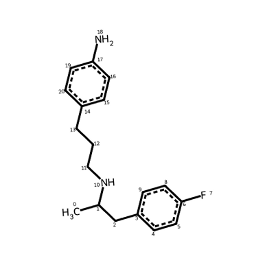 CC(Cc1ccc(F)cc1)NCCCc1ccc(N)cc1